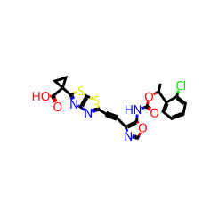 CC(OC(=O)Nc1ocnc1C#Cc1nc2nc(C3(C(=O)O)CC3)sc2s1)c1ccccc1Cl